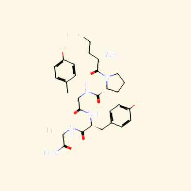 CC(C)[C@H](NC(=O)[C@H](Cc1ccc(O)cc1)NC(=O)[C@H](Cc1ccc(O)cc1)NC(=O)[C@@H]1CCCN1C(=O)[C@@H](N)CCC(=O)O)C(N)=O